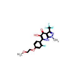 COCCOc1ccc(-c2[nH]c3c(c(C(F)(F)F)nn3C)c(=O)c2O)c(F)c1